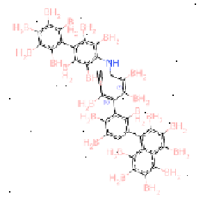 B/C(CNc1c(B)c(B)c(-c2c(B)c(B)c(B)c(B)c2B)c(B)c1B)=C(B)/C(=C(/B)C#C)c1c(B)c(B)cc(-c2c(B)c(B)c(B)c3c(B)c(B)c(B)c(B)c23)c1B